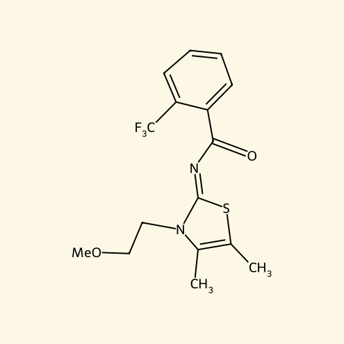 COCCn1c(C)c(C)sc1=NC(=O)c1ccccc1C(F)(F)F